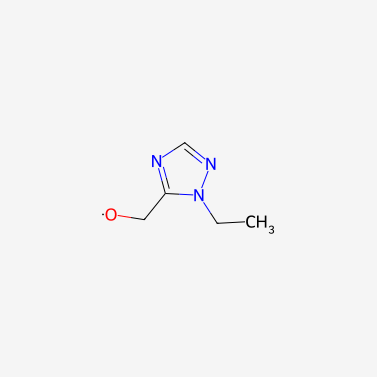 CCn1ncnc1C[O]